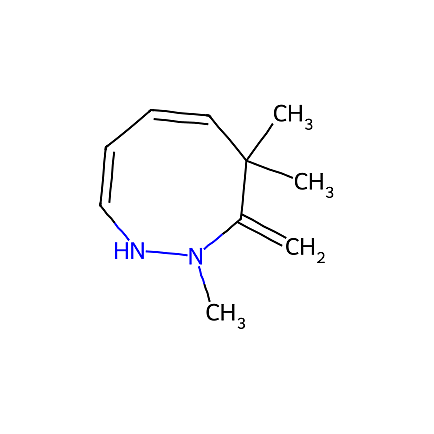 C=C1N(C)N/C=C\C=C/C1(C)C